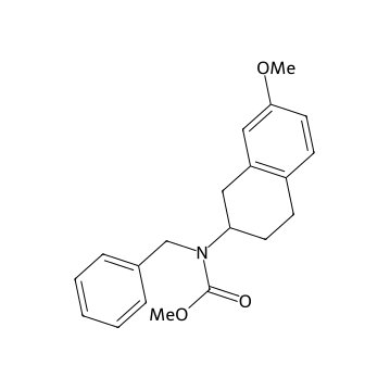 COC(=O)N(Cc1ccccc1)C1CCc2ccc(OC)cc2C1